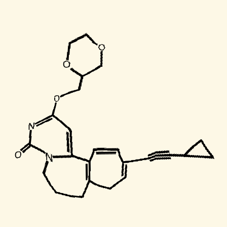 O=c1nc(OCC2COCCO2)cc2n1CCCC1=C2C=CC(C#CC2CC2)=CC1